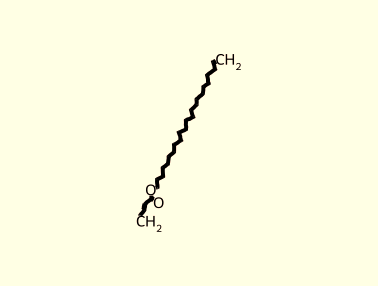 C=CC=CC(=O)OCCCCCCCCCCCCCCCCCCCCCC=C